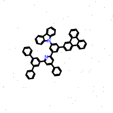 c1ccc(-c2cc(-c3ccccc3)cc(-c3cc(-c4ccccc4)cc(-c4cc(-c5ccc6c7ccccc7c7ccccc7c6c5)cc(-n5c6ccccc6c6ccccc65)c4)n3)c2)cc1